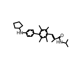 C/C(=C\c1c(C)c(C)c(-c2ccc(NC3CCCC3)cc2)c(C)c1C)C(=O)NC(C)C